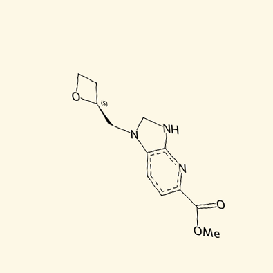 COC(=O)c1ccc2c(n1)NCN2C[C@@H]1CCO1